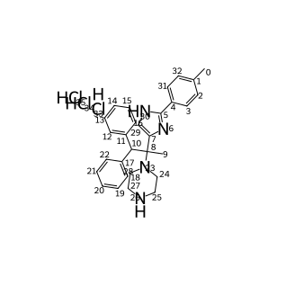 Cc1ccc(-c2nc(C(C)(C(c3ccccc3)c3ccccc3)N3CCNCC3)c[nH]2)cc1.Cl.Cl.Cl